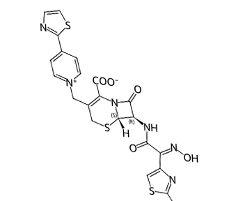 Nc1nc(C(=NO)C(=O)N[C@@H]2C(=O)N3C(C(=O)[O-])=C(C[n+]4ccc(-c5nccs5)cc4)CS[C@@H]23)cs1